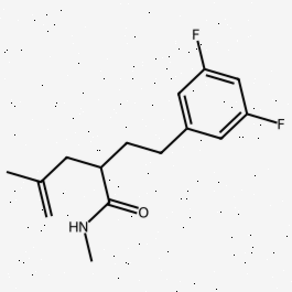 C=C(C)CC(CCc1cc(F)cc(F)c1)C(=O)NC